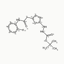 CC(C)(C)OC(=O)NNc1ncc(CC(=O)Nc2ccccc2F)s1